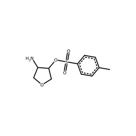 Cc1ccc(S(=O)(=O)OC2COCC2N)cc1